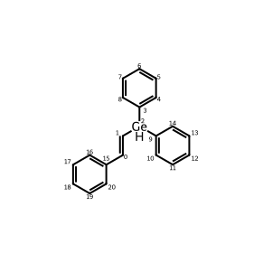 C(=[CH][GeH]([c]1ccccc1)[c]1ccccc1)c1ccccc1